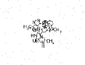 COc1cccc(F)c1-c1nc2c(cc1F)c1c(c(=O)n2-c2c(C(C)C)ncnc2C(C)C)NC(=O)[C@H]2CN[C@H](C)CN12